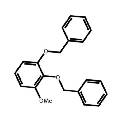 COc1cccc(OCc2ccccc2)c1OCc1ccccc1